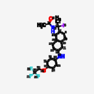 CC(=O)NC(C)(I)c1ccc2cc(Nc3ccc(OCC(F)(F)F)cc3)ccc2c1